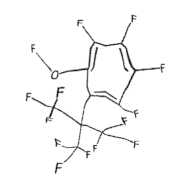 FOc1c(F)c(F)c(F)c(F)c1C(C(F)(F)F)(C(F)(F)F)C(F)(F)F